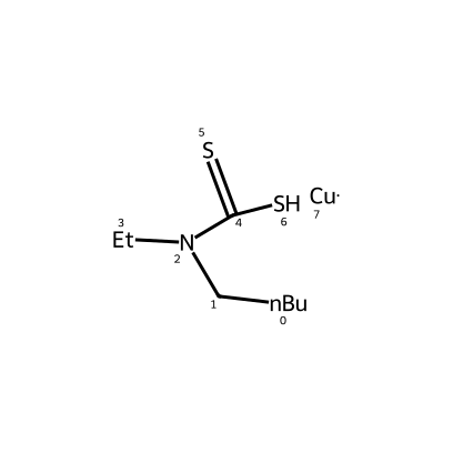 CCCCCN(CC)C(=S)S.[Cu]